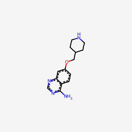 Nc1ncnc2cc(OCC3CCNCC3)ccc12